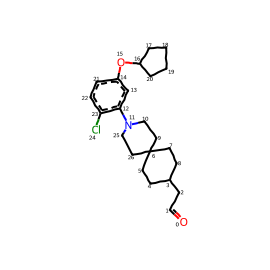 O=CCC1CCC2(CC1)CCN(c1cc(OC3CCCC3)ccc1Cl)CC2